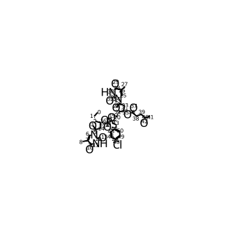 CC[C@H]1O[C@@H](n2cc(C)c(=O)[nH]c2=O)CC1OP(=O)(OC[C@H]1O[C@@H](n2cc(C)c(=O)[nH]c2=O)CC1OC(=O)CCC(C)=O)Sc1ccc(Cl)cc1